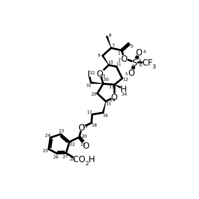 C=C(OS(=O)(=O)C(F)(F)F)[C@H](C)C[C@H]1CC[C@@H]2O[C@@H](CCCOC(=O)c3ccccc3C(=O)O)C[C@]2(CI)O1